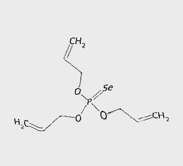 C=CCOP(=[Se])(OCC=C)OCC=C